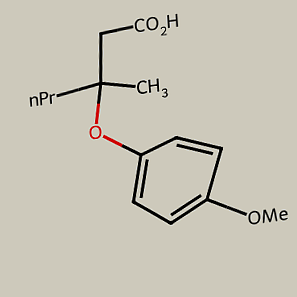 CCCC(C)(CC(=O)O)Oc1ccc(OC)cc1